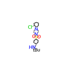 CC(C)(C)NCc1ccc(S(=O)(=O)N2CCN(c3ccccc3Cl)CC2)cc1